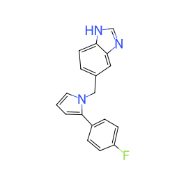 Fc1ccc(-c2cccn2Cc2ccc3[nH]cnc3c2)cc1